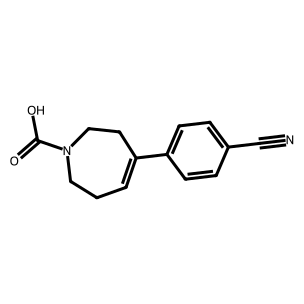 N#Cc1ccc(C2=CCCN(C(=O)O)CC2)cc1